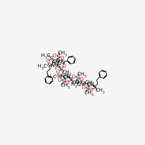 C[Si](C)(CCc1ccccc1)O[Si](C)(C)O[Si](C)(C)O[Si](C)(C)O[Si](C)(C)O[Si](C)(C)O[Si](C)(C)O[Si](C)(C)O[Si](C)(O[Si](C)(C)O[Si](C)(C)O[Si](C)(C)CCc1ccccc1)c1ccccc1